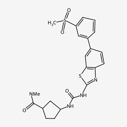 CNC(=O)C1CCC(NC(=O)Nc2nc3ccc(-c4cccc(S(C)(=O)=O)c4)cc3s2)C1